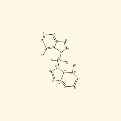 Cc1cccc2c1[CH]([Zr]([CH3])([CH3])[CH]1C=Cc3cccc(C)c31)C=C2